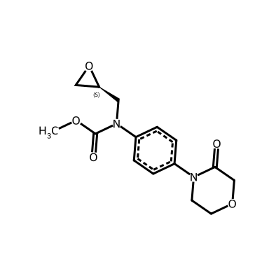 COC(=O)N(C[C@H]1CO1)c1ccc(N2CCOCC2=O)cc1